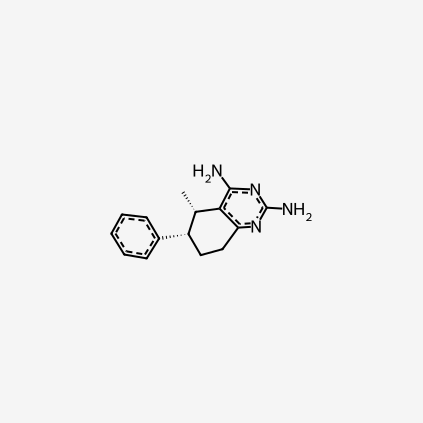 C[C@@H]1c2c(N)nc(N)nc2CC[C@@H]1c1ccccc1